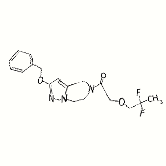 CC(F)(F)COCC(=O)N1CCn2nc(OCc3ccccc3)cc2C1